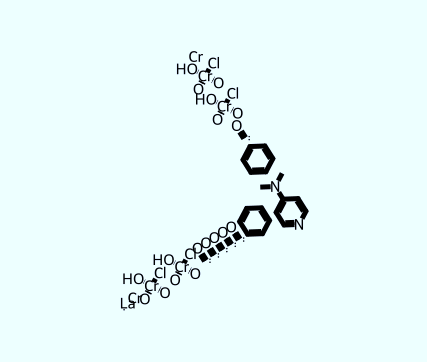 CN(C)c1ccncc1.[C]=O.[C]=O.[C]=O.[C]=O.[C]=O.[C]=O.[Cr].[Cr].[La].[O]=[Cr](=[O])([OH])[Cl].[O]=[Cr](=[O])([OH])[Cl].[O]=[Cr](=[O])([OH])[Cl].[O]=[Cr](=[O])([OH])[Cl].c1ccccc1.c1ccccc1